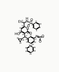 CCC(NS(=O)(=O)c1ccccc1)c1cc(O)c(C(c2cccc(N=S(=O)=O)c2)C2CC2)c(=O)o1.c1ccncc1